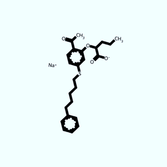 CCCC(Oc1cc(SCCCCCc2ccccc2)ccc1C(C)=O)C(=O)[O-].[Na+]